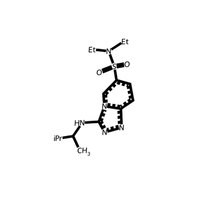 CCN(CC)S(=O)(=O)c1ccc2nnc(NC(C)C(C)C)n2c1